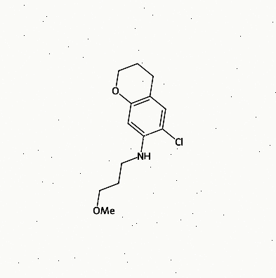 COCCCNc1cc2c(cc1Cl)CCCO2